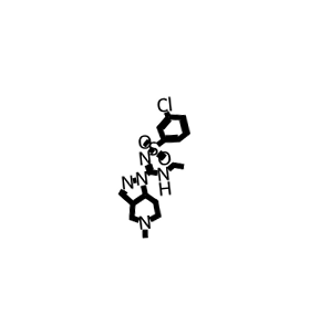 CCN/C(=N\S(=O)(=O)c1cccc(Cl)c1)N1N=CC2CN(C)CCC21